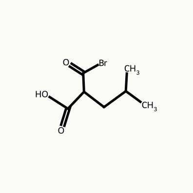 CC(C)CC(C(=O)O)C(=O)Br